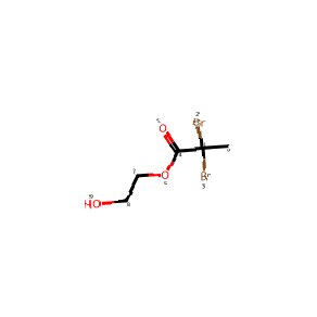 CC(Br)(Br)C(=O)OCCO